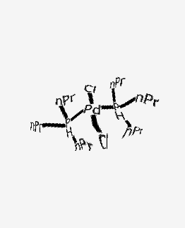 CCC[PH](CCC)(CCC)[Pd]([Cl])([Cl])[PH](CCC)(CCC)CCC